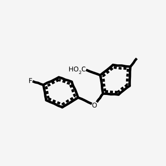 Cc1ccc(Oc2ccc(F)cc2)c(C(=O)O)c1